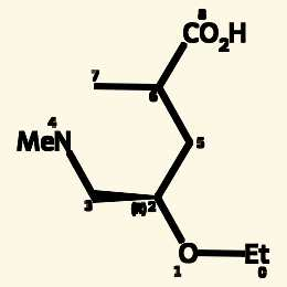 CCO[C@@H](CNC)CC(C)C(=O)O